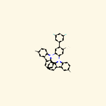 CC(C)(C)c1ccc2c(c1)c1ccccc1n2-c1cc(C#N)c(-c2cc(F)cc(F)c2)cc1-n1c2ccccc2c2cc(C(C)(C)C)ccc21